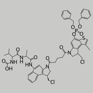 Cc1csc2c(OP(=O)(OCc3ccccc3)OCc3ccccc3)cc3c(c12)C(CCl)CN3C(=O)CCCC(=O)N1C[C@@H](CCl)c2c1cc(NC(=O)C(C)NC(=O)C(NC(=O)O)C(C)C)c1ccccc21